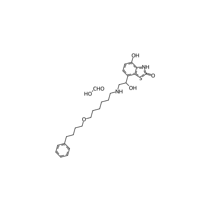 O=CO.O=c1[nH]c2c(O)ccc(C(O)CNCCCCCCOCCCCc3ccccc3)c2s1